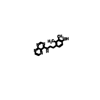 Cc1c(O)ccc(CCNc2ncnc3nccnc23)c1C